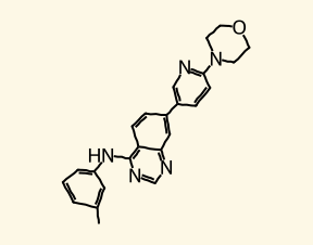 Cc1cccc(Nc2ncnc3cc(-c4ccc(N5CCOCC5)nc4)ccc23)c1